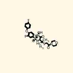 CC(C)(SCC(=O)N1CCOCC1)[C@@H](NS(=O)(=O)c1ccc(Oc2ccc(F)cc2)c(F)c1)C(=O)NO